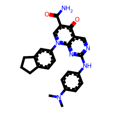 CN(C)c1ccc(Nc2ncc3c(=O)c(C(N)=O)cn(-c4ccc5c(c4)CCC5)c3n2)cc1